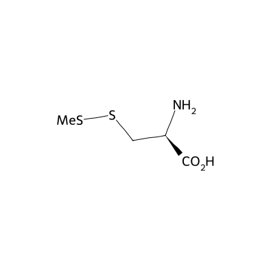 CSSC[C@@H](N)C(=O)O